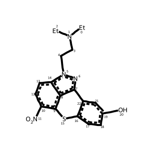 CCN(CC)CCn1nc2c3c(c([N+](=O)[O-])ccc31)Sc1ccc(O)cc1-2